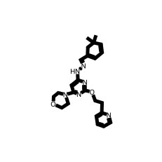 CC1(C)C=CC=C(/C=N/Nc2cc(N3CCOCC3)nc(OCCc3ccccn3)n2)C1